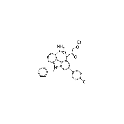 CCOCC(=O)Oc1cc(-c2ccc(Cl)cc2)cc2c1c1c(C(N)=O)cccc1n2Cc1ccccc1